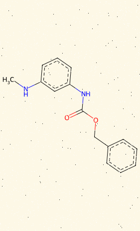 CNc1cccc(NC(=O)OCc2ccccc2)c1